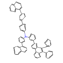 c1ccc(-c2c(-c3ccccc3)c3cc(-c4cccc(N(c5ccc(-c6ccc(-c7cccc8ccccc78)cc6)cc5)c5cccc(-c6cccc7ccccc67)c5)c4)ccc3c3ccccc23)cc1